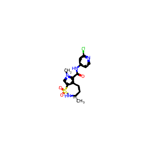 C[C@H]1CCc2c(cn(C)c2C(=O)Nc2ccnc(Cl)c2)S(=O)(=O)N1